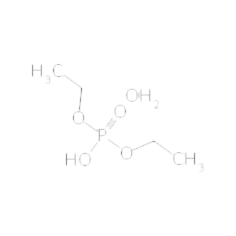 CCOP(=O)(O)OCC.O